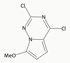 COc1ccc2c(Cl)nc(Cl)nn12